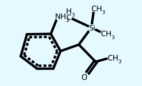 CC(=O)C(c1ccccc1N)[Si](C)(C)C